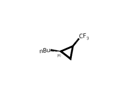 CCCC[C@@H]1CC1C(F)(F)F